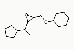 IC(C1CCCC1)C1OC1NOC1CCCCC1